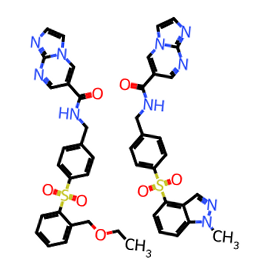 CCOCc1ccccc1S(=O)(=O)c1ccc(CNC(=O)c2cnc3nccn3c2)cc1.Cn1ncc2c(S(=O)(=O)c3ccc(CNC(=O)c4cnc5nccn5c4)cc3)cccc21